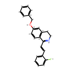 Fc1ccccc1/C=C/C1=NCCc2cc(OCc3ccccc3)ccc21